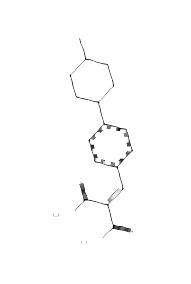 COC(=O)C(=Cc1ccc(C2CCC(C)CC2)cc1)C(=O)OC